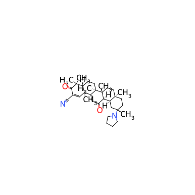 CC1(C)C(=O)C(C#N)=C[C@]2(C)C3=CC(=O)[C@@H]4[C@@H]5C[C@@](C)(N6CCCC6)CC[C@]5(C)CC[C@@]4(C)[C@]3(C)CC[C@@H]12